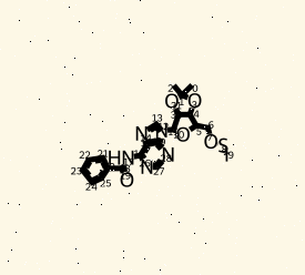 CC1(C)OC2C(COSI)OC(n3cnc4c(NC(=O)c5ccccc5)ncnc43)C2O1